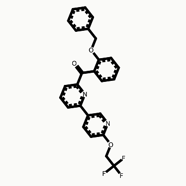 O=C(c1cccc(-c2ccc(OCC(F)(F)F)nc2)n1)c1ccccc1OCc1ccccc1